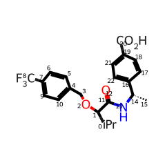 CC(C)C(OCc1ccc(C(F)(F)F)cc1)C(=O)N[C@@H](C)c1ccc(C(=O)O)cc1